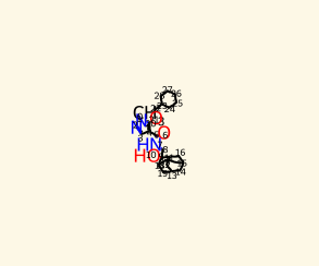 Cn1ncc(C(=O)NCC2(O)C3CC4CC(C3)CC2C4)c1OCC1CCCCC1